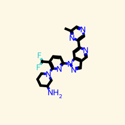 Cc1cncc(-c2cc3c(cn2)cnn3-c2ccc(C(F)F)c(N3CCCC(N)C3)n2)n1